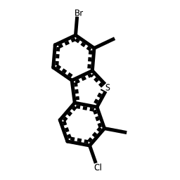 Cc1c(Cl)ccc2c1sc1c(C)c(Br)ccc12